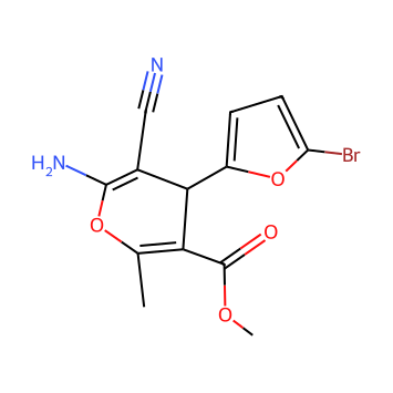 COC(=O)C1=C(C)OC(N)=C(C#N)C1c1ccc(Br)o1